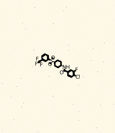 O=C(N[C@H]1CC[C@H](S(=O)(=O)c2cccc(C(F)(F)F)c2)CC1)c1ccc(Cl)c(F)c1